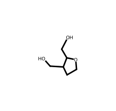 OCC1CCOC1CO